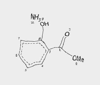 COC(=O)c1ccccc1O.N